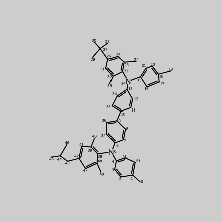 Cc1ccc(N(c2ccc(-c3ccc(N(c4ccc(C)cc4)c4c(C)cc(C(C)(C)C)cc4C)cc3)cc2)c2c(C)cc(CC(C)C)cc2C)cc1